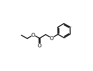 CCOC(=O)COc1cc[c]cc1